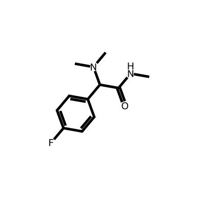 CNC(=O)C(c1ccc(F)cc1)N(C)C